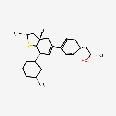 CC[C@H](O)C[C@@H]1C=CC(C2=C[C@H](C3CCC[C@@H](C)C3)C3S[C@H](C)C[C@@H]3C2)=CC1